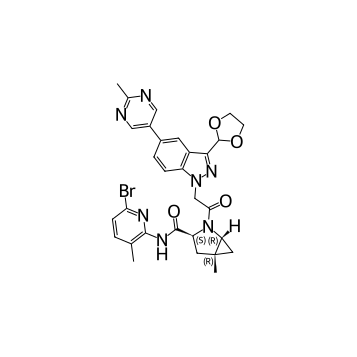 Cc1ncc(-c2ccc3c(c2)c(C2OCCO2)nn3CC(=O)N2[C@H](C(=O)Nc3nc(Br)ccc3C)C[C@@]3(C)C[C@@H]23)cn1